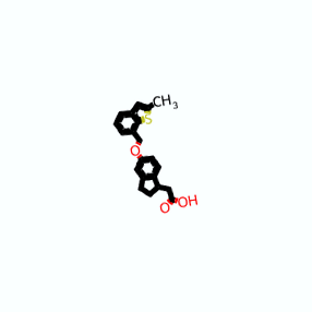 Cc1cc2cccc(COc3ccc4c(c3)CCC4CC(=O)O)c2s1